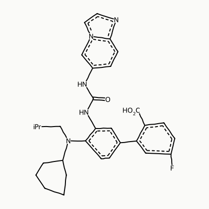 CC(C)CN(c1ccc(-c2cc(F)ccc2C(=O)O)cc1NC(=O)Nc1ccc2nccn2c1)C1CCCCC1